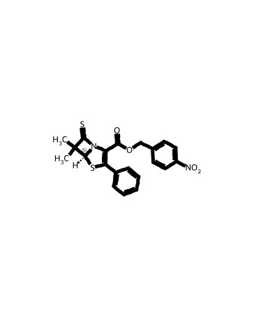 CC1(C)C(=S)N2C(C(=O)OCc3ccc([N+](=O)[O-])cc3)=C(c3ccccc3)S[C@H]21